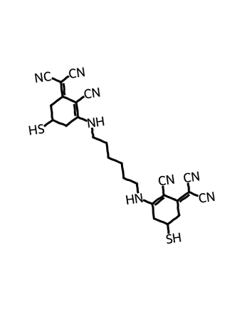 N#CC(C#N)=C1CC(S)CC(NCCCCCCNC2=C(C#N)C(=C(C#N)C#N)CC(S)C2)=C1C#N